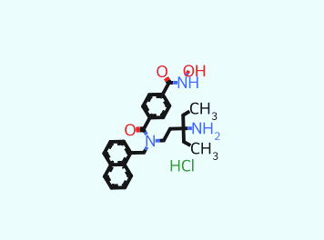 CCC(N)(CC)CCN(Cc1cccc2ccccc12)C(=O)c1ccc(C(=O)NO)cc1.Cl